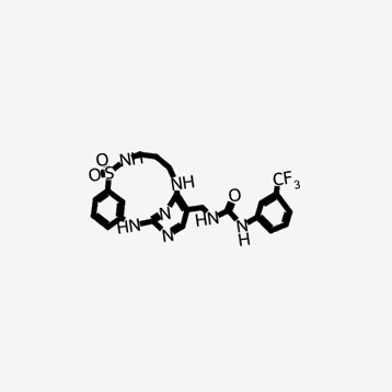 O=C(NCc1cnc2nc1NCCCNS(=O)(=O)c1cccc(c1)N2)Nc1cccc(C(F)(F)F)c1